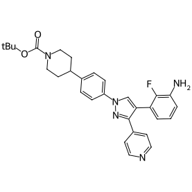 CC(C)(C)OC(=O)N1CCC(c2ccc(-n3cc(-c4cccc(N)c4F)c(-c4ccncc4)n3)cc2)CC1